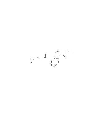 NC(=O)C1C=Cc2c(C(=O)OCC3CC3)cccc21